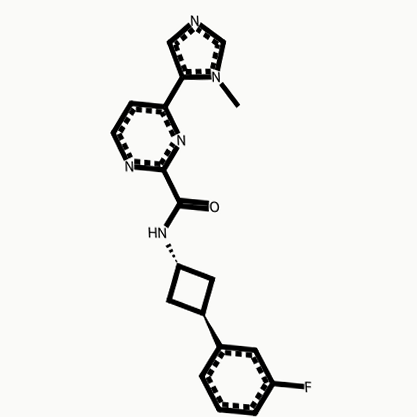 Cn1cncc1-c1ccnc(C(=O)N[C@H]2C[C@H](c3cccc(F)c3)C2)n1